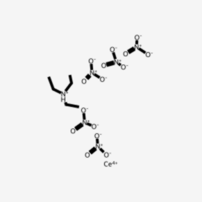 CC[NH+](CC)CC.O=[N+]([O-])[O-].O=[N+]([O-])[O-].O=[N+]([O-])[O-].O=[N+]([O-])[O-].O=[N+]([O-])[O-].[Ce+4]